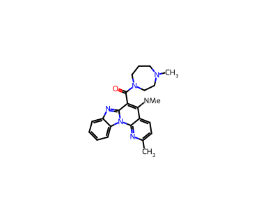 CNc1c(C(=O)N2CCCN(C)CC2)c2nc3ccccc3n2c2nc(C)ccc12